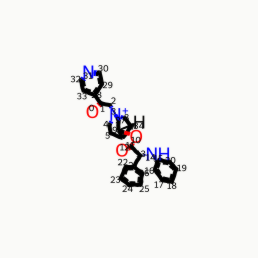 O=C(C[N+]12CCC(CC1)[C@@H](OC(=O)[C@H](Nc1ccccc1)c1ccccc1)C2)c1ccncc1